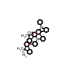 CC1(C)c2ccccc2-c2c(-c3cccc(N(c4ccccc4-c4cccc5c4c4ccccc4n5-c4ccccc4)c4cccc5c4-c4ccccc4C5(C)C)c3)cccc21